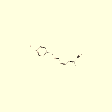 COc1ccc(C/N=C/C=C\C=C(/C)C#N)cc1